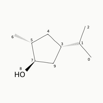 CC(C)[C@H]1C[C@@H](C)[C@H](O)C1